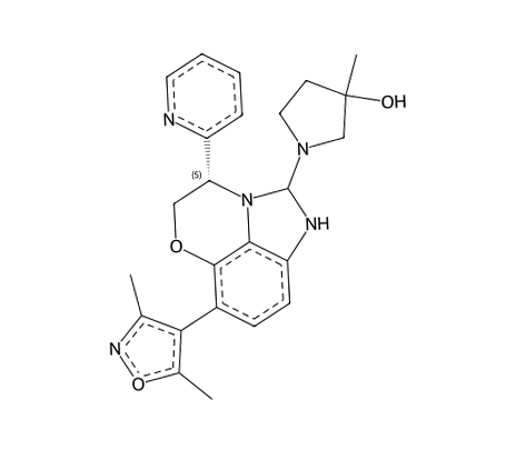 Cc1noc(C)c1-c1ccc2c3c1OC[C@H](c1ccccn1)N3C(N1CCC(C)(O)C1)N2